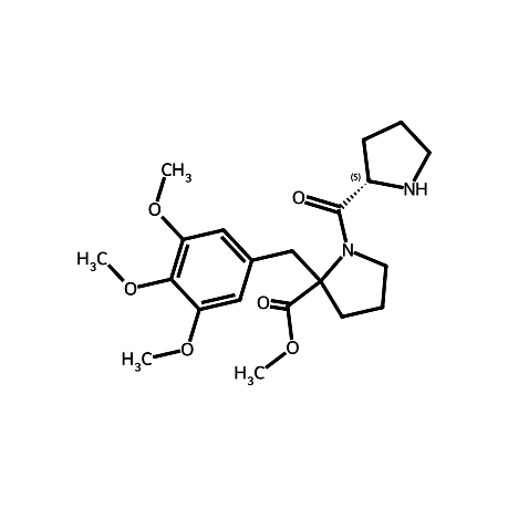 COC(=O)C1(Cc2cc(OC)c(OC)c(OC)c2)CCCN1C(=O)[C@@H]1CCCN1